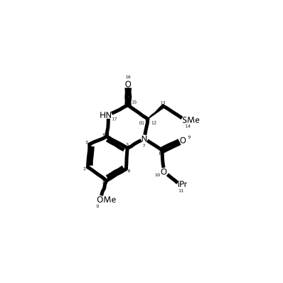 COc1ccc2c(c1)N(C(=O)OC(C)C)[C@H](CSC)C(=O)N2